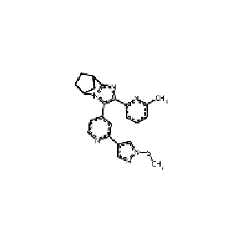 CSn1cc(-c2cc(-c3c(-c4cccc(C)n4)nc4n3C3CCC4C3)ccn2)cn1